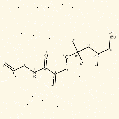 C=CCNC(=O)C(=C)COC(C)(C)CC(C)CC(C)CC